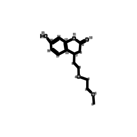 COCCOCCC1CC(=O)Oc2cc(O)ccc21